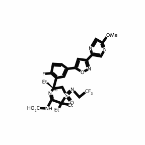 CCC1(CC)C(NC(=O)O)=N[C@](CC)(c2cc(-c3cc(-c4cnc(OC)cn4)no3)ccc2F)CS1(=O)=NCC(F)(F)F